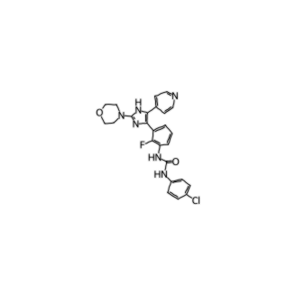 O=C(Nc1ccc(Cl)cc1)Nc1cccc(-c2nc(N3CCOCC3)[nH]c2-c2ccncc2)c1F